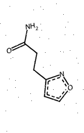 NC(=O)CCc1ccon1